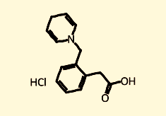 Cl.O=C(O)Cc1ccccc1CN1C=CCC=C1